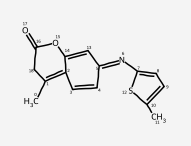 CC1=C2C=CC(=Nc3ccc(C)s3)C=C2OC(=O)C1